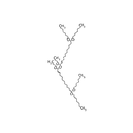 CCCCCCCOC(CCCCCCCCCC=CC(OCCC)OC(C=CCCCCCCCCCC(OCCCCCCC)OCCCCCCC)OCCC)OCCCCCCC